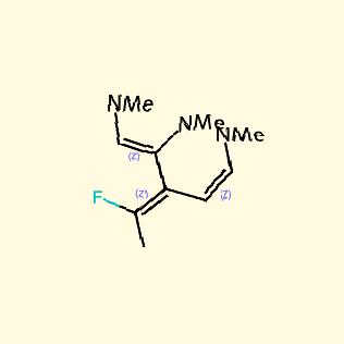 CN\C=C/C(C(=C/NC)/NC)=C(\C)F